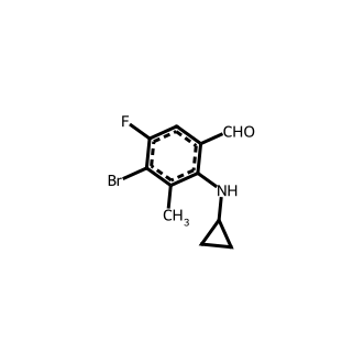 Cc1c(Br)c(F)cc(C=O)c1NC1CC1